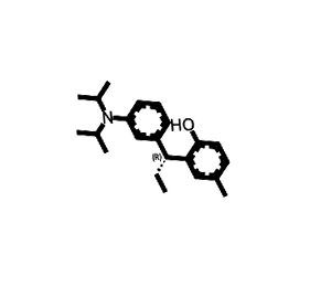 CC[C@H](c1cccc(N(C(C)C)C(C)C)c1)c1cc(C)ccc1O